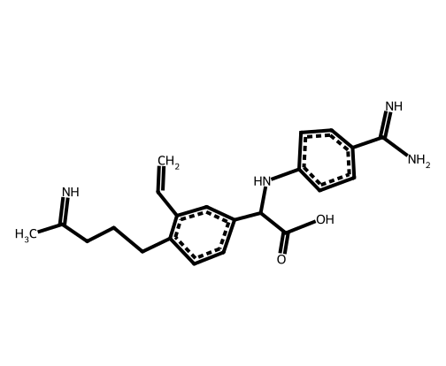 C=Cc1cc(C(Nc2ccc(C(=N)N)cc2)C(=O)O)ccc1CCCC(C)=N